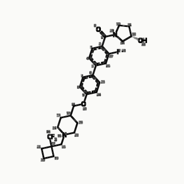 O=C(c1ccc(-c2ccc(OCC3CCN(CC4(C(F)(F)F)CCC4)CC3)cc2)cc1F)N1CC[C@H](O)C1